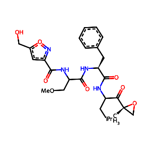 COCC(NC(=O)c1cc(CO)on1)C(=O)N[C@@H](Cc1ccccc1)C(=O)NC(CC(C)C)C(=O)[C@@]1(C)CO1